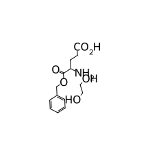 NC(CCC(=O)O)C(=O)OCc1ccccc1.OCCO